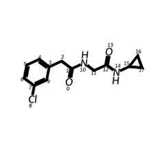 O=C(Cc1cccc(Cl)c1)NCC(=O)NC1CC1